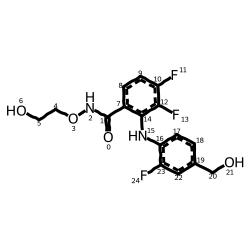 O=C(NOCCO)c1ccc(F)c(F)c1Nc1ccc(CO)cc1F